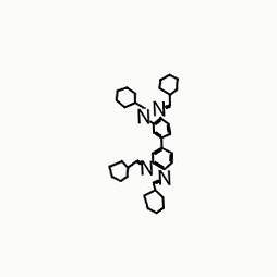 C(=N\c1ccc(-c2ccc(/N=C/C3CCCCC3)c(/N=C/C3CCCCC3)c2)cc1/N=C/C1CCCCC1)/C1CCCCC1